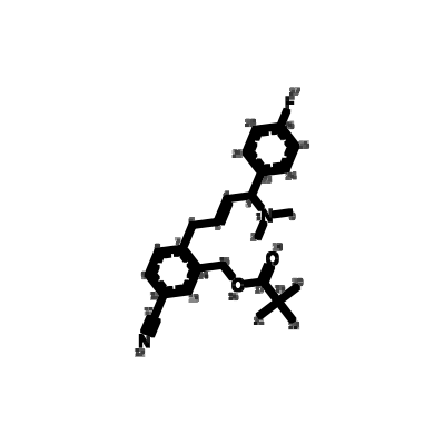 CN(C)C(C=CCc1ccc(C#N)cc1COC(=O)C(C)(C)C)c1ccc(F)cc1